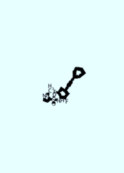 Cn1nccc1S(=O)(=O)Nc1c(F)cc(C#Cc2ccccc2)cc1F